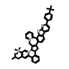 CC(C)Cc1cc2[n+](cc1[Si](C)(C)C)C1C3=C(CC1c1ccccc1-2)c1ccc2c(oc4nc(-c5ccc(C(C)(C)C)cc5)ccc42)c1-c1cccc[n+]1C3